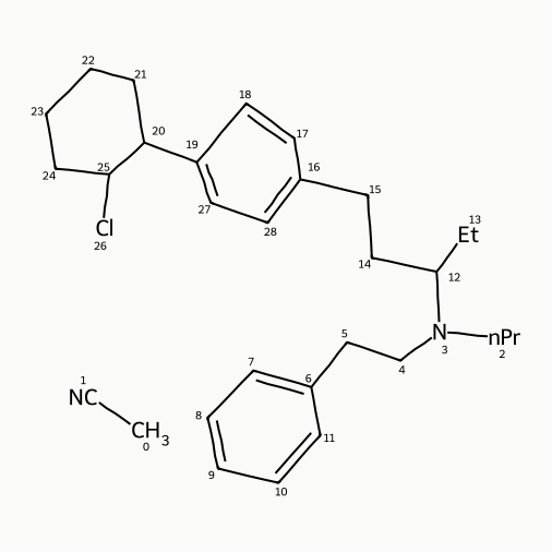 CC#N.CCCN(CCc1ccccc1)C(CC)CCc1ccc(C2CCCCC2Cl)cc1